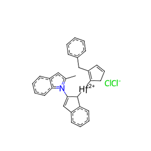 Cc1cc2ccccc2n1C1=Cc2ccccc2[CH]1[Hf+2][C]1=C(Cc2ccccc2)C=CC1.[Cl-].[Cl-]